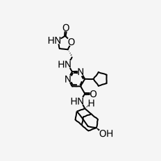 O=C1NC[C@@H](CNc2ncc(C(=O)N[C@H]3C4CC5CC3C[C@@](O)(C5)C4)c(C3CCCC3)n2)O1